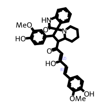 COc1cc(/C=C/C(O)=C/C(=O)C2C3CCCCN3C3(C(=O)Nc4ccccc43)C2c2ccc(O)c(OC)c2)ccc1O